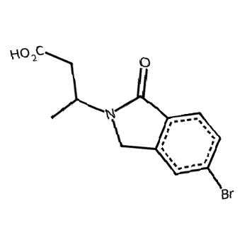 CC(CC(=O)O)N1Cc2cc(Br)ccc2C1=O